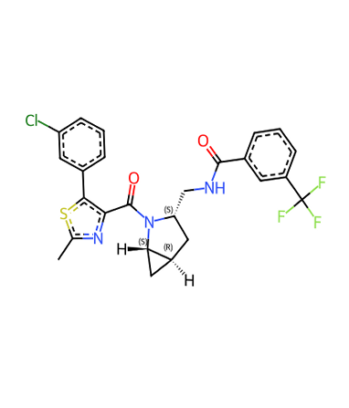 Cc1nc(C(=O)N2[C@H](CNC(=O)c3cccc(C(F)(F)F)c3)C[C@H]3C[C@@H]32)c(-c2cccc(Cl)c2)s1